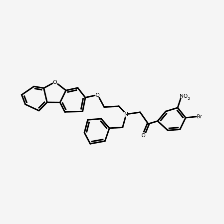 O=C(CN(CCOc1ccc2c(c1)oc1ccccc12)Cc1ccccc1)c1ccc(Br)c([N+](=O)[O-])c1